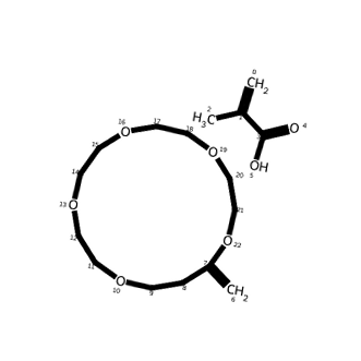 C=C(C)C(=O)O.C=C1CCOCCOCCOCCOCCO1